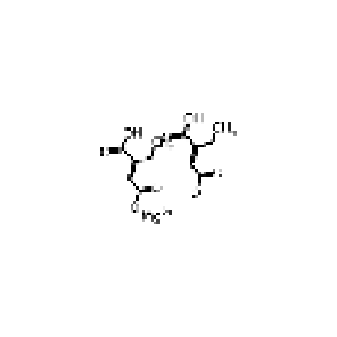 CC/C(=C\C(=O)[O-])C(=O)O.CC/C(=C\C(=O)[O-])C(=O)O.[Mg+2]